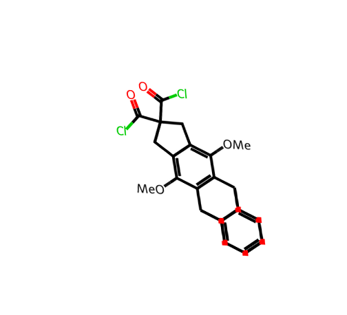 COc1c2c(c(OC)c3c1C1c4ccccc4C3c3ccccc31)CC(C(=O)Cl)(C(=O)Cl)C2